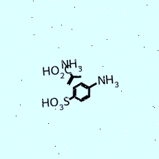 C=C(C)C(=O)O.Cc1ccc(S(=O)(=O)O)cc1.N.N